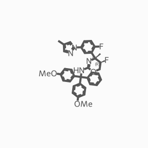 COc1ccc(C(NC2=N[C@](C)(c3cc(-n4cc(C)cn4)ccc3F)[C@@H](F)CO2)(c2ccccc2)c2ccc(OC)cc2)cc1